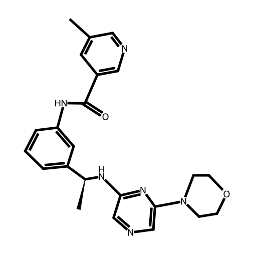 Cc1cncc(C(=O)Nc2cccc([C@H](C)Nc3cncc(N4CCOCC4)n3)c2)c1